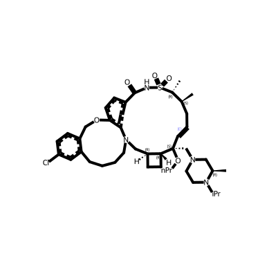 CCCO[C@]1(CN2CCN(C(C)C)[C@H](C)C2)/C=C/C[C@H](C)[C@@H](C)S(=O)(=O)NC(=O)c2ccc3c(c2)N(CCCCc2cc(Cl)ccc2CO3)C[C@@H]2CC[C@H]21